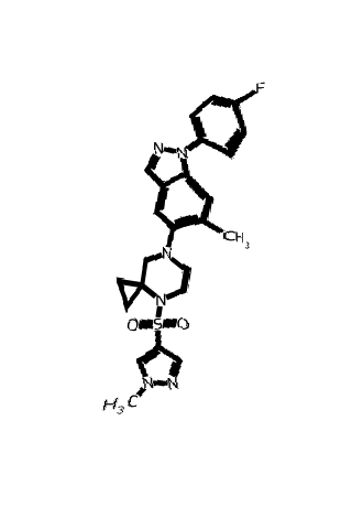 Cc1cc2c(cnn2-c2ccc(F)cc2)cc1N1CCN(S(=O)(=O)c2cnn(C)c2)C2(CC2)C1